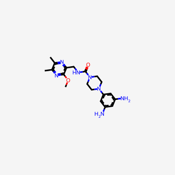 COc1nc(C)c(C)nc1CNC(=O)N1CCN(c2cc(N)cc(N)c2)CC1